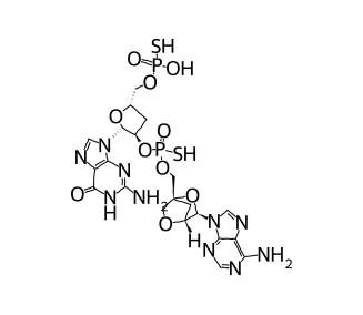 Nc1nc2c(ncn2[C@@H]2O[C@H](COP(=O)(O)S)C[C@H]2OP(=O)(S)OC[C@]23CO[C@H](C2)[C@H](n2cnc4c(N)ncnc42)O3)c(=O)[nH]1